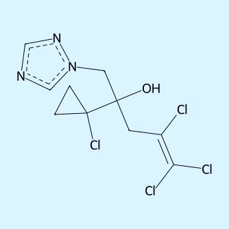 OC(CC(Cl)=C(Cl)Cl)(Cn1cncn1)C1(Cl)CC1